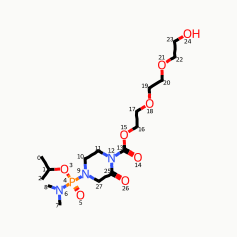 CC(C)OP(=O)(N(C)C)N1CCN(C(=O)OCCOCCOCCO)C(=O)C1